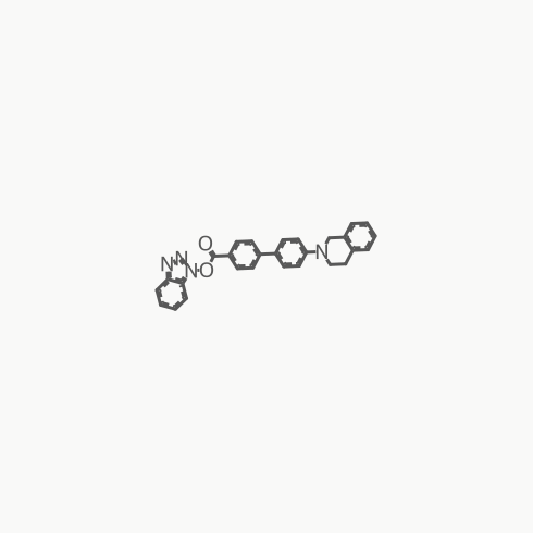 O=C(On1nnc2ccccc21)c1ccc(-c2ccc(N3CCc4ccccc4C3)cc2)cc1